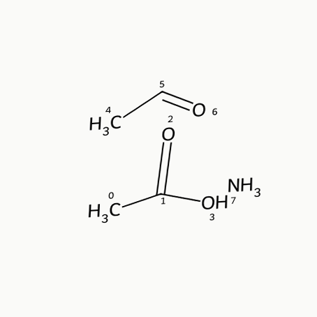 CC(=O)O.CC=O.N